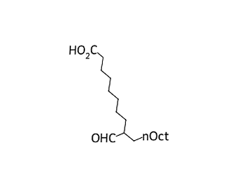 CCCCCCCCCC(C=O)CCCCCCCC(=O)O